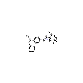 CCN(Cc1ccccc1)c1ccc(/N=N/C2=NC(C)(C)N=CN2C)cc1